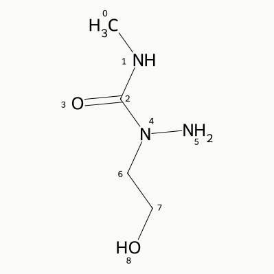 CNC(=O)N(N)CCO